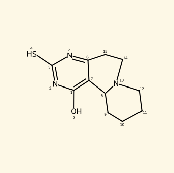 Oc1nc(S)nc2c1C1CCCCN1CC2